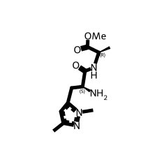 COC(=O)[C@@H](C)NC(=O)[C@@H](N)Cc1cc(C)nn1C